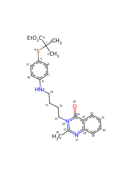 CCOC(=O)C(C)(C)Sc1ccc(NCCCCn2c(C)nc3ccccc3c2=O)cc1